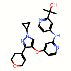 CC(C)(O)c1cc(Nc2cc(Oc3cn(C4CC4)nc3C3=CCOCC3)ccn2)ccn1